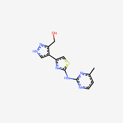 Cc1ccnc(Nc2nc(-c3c[nH]nc3CO)cs2)n1